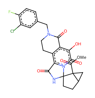 COC(=O)C12CC1CCC21NC(=O)c2c3c(c(O)c(=O)n21)C(=O)N(Cc1ccc(F)c(Cl)c1)CC3